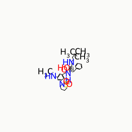 CCNc1cc(C(=O)N[C@@H](Cc2ccccc2)[C@H](O)CNCCC(C)(C)C)cc(N2CCCCS2(=O)=O)c1